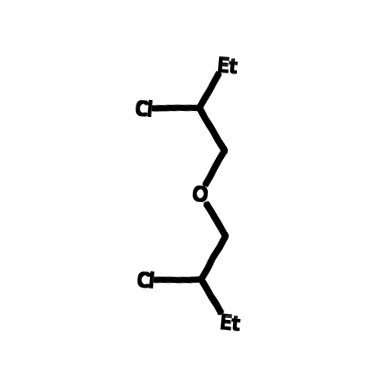 CCC(Cl)COCC(Cl)CC